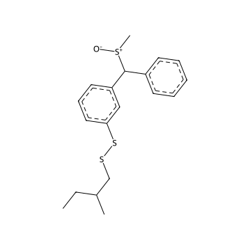 CCC(C)CSSc1cccc(C(c2ccccc2)[S+](C)[O-])c1